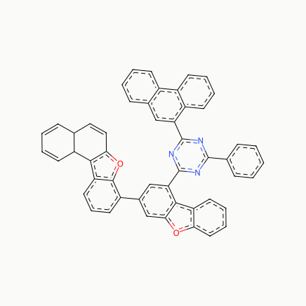 C1=CC2C=Cc3oc4c(-c5cc(-c6nc(-c7ccccc7)nc(-c7cc8ccccc8c8ccccc78)n6)c6c(c5)oc5ccccc56)cccc4c3C2C=C1